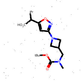 CC(C)C(C(=O)O)c1cc(N2CC(CN(C)C(=O)OC(C)(C)C)C2)no1